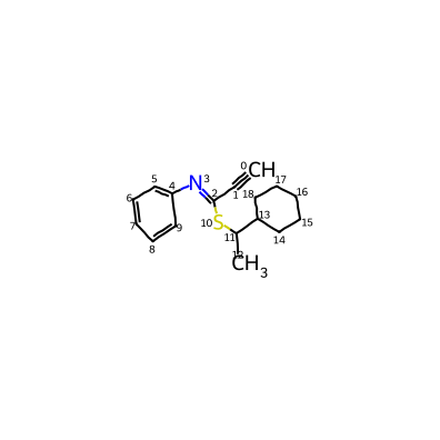 C#CC(=Nc1ccccc1)SC(C)C1CCCCC1